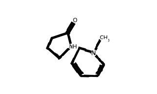 CN1C=CC=CC1.O=C1CCCN1